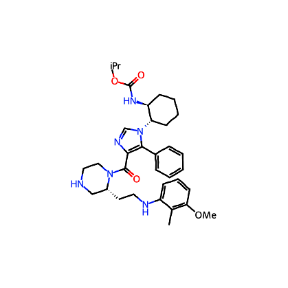 COc1cccc(NCC[C@@H]2CNCCN2C(=O)c2ncn([C@H]3CCCC[C@@H]3NC(=O)OC(C)C)c2-c2ccccc2)c1C